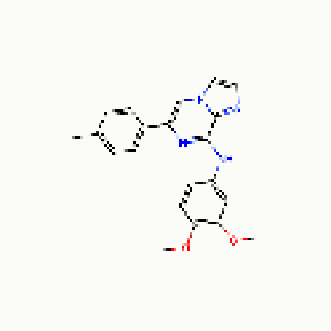 COc1ccc(Nc2nc(-c3ccc(C)cc3)cn3ccnc23)cc1OC